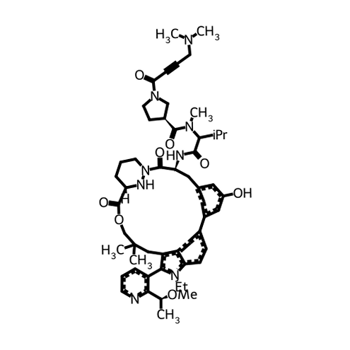 CCn1c(-c2cccnc2[C@H](C)OC)c2c3cc(ccc31)-c1cc(O)cc(c1)C[C@H](NC(=O)C(C(C)C)N(C)C(=O)[C@H]1CCN(C(=O)C#CCN(C)C)C1)C(=O)N1CCC[C@H](N1)C(=O)OCC(C)(C)C2